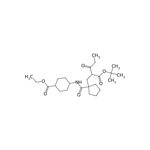 CCOC(=O)C1CCC(NC(=O)C2(CC(C(=O)CC)C(=O)OC(C)(C)C)CCCC2)CC1